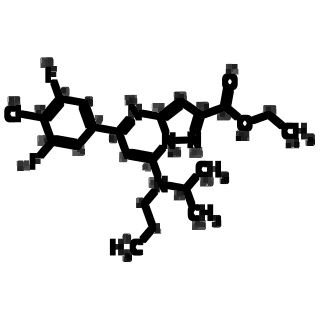 CCCN(c1cc(-c2cc(F)c(Cl)c(F)c2)nc2cc(C(=O)OCC)nn12)C(C)C